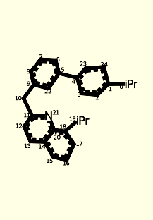 CC(C)c1ccc(-c2cccc(Cc3ccc4cccc(C(C)C)c4n3)c2)cc1